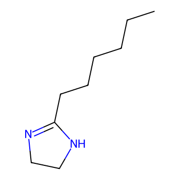 CCCCCCC1=NCCN1